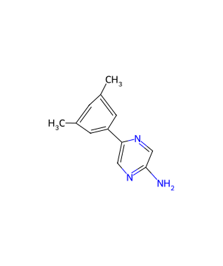 Cc1cc(C)cc(-c2cnc(N)cn2)c1